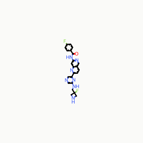 O=C(Nc1cc2nc(-c3cncc(NCC4(F)CNC4)n3)ccc2cn1)c1ccc(F)cc1